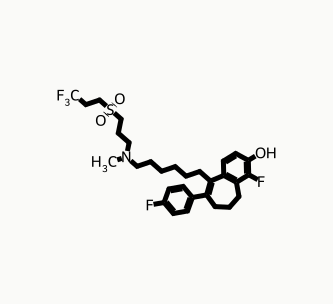 CN(CCCCCCC1=C(c2ccc(F)cc2)CCCc2c1ccc(O)c2F)CCCS(=O)(=O)CCC(F)(F)F